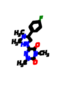 CN(C)C(CNc1nn(C)c(=O)n(C)c1=O)c1ccc(F)cc1